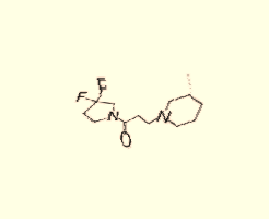 C[C@@H]1CCCN(CCC(=O)N2CCC(F)(F)C2)C1